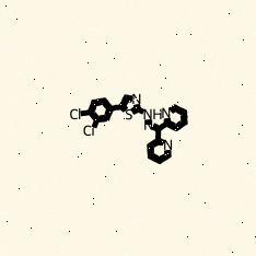 Clc1ccc(-c2cnc(NN=C(c3ccccn3)c3ccccn3)s2)cc1Cl